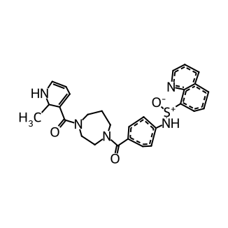 CC1NC=CC=C1C(=O)N1CCCN(C(=O)c2ccc(N[S+]([O-])c3cccc4cccnc34)cc2)CC1